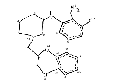 Nc1c(F)cccc1NC1CCCN(CC2COc3ccccc3O2)C1